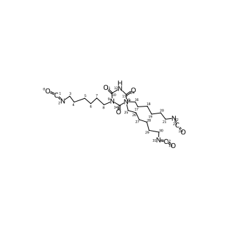 O=C=NCCCCCCN1C(=O)NC(=O)[N+](CCCCCCN=C=O)(CCCCCCN=C=O)C1=O